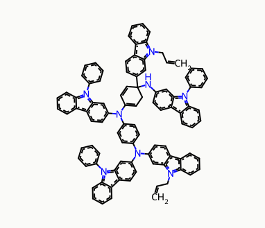 C=CCn1c2ccccc2c2ccc(N(c3ccc(N(C4=CCC(Nc5ccc6c7ccccc7n(-c7ccccc7)c6c5)(c5ccc6c7ccccc7n(CC=C)c6c5)C=C4)c4ccc5c6ccccc6n(-c6ccccc6)c5c4)cc3)c3ccc4c5ccccc5n(-c5ccccc5)c4c3)cc21